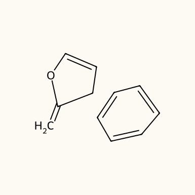 C=C1CC=CO1.c1ccccc1